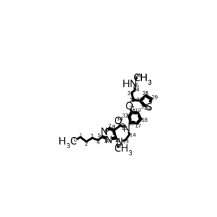 CCCCCc1ncc2c(n1)N(C)CCN(c1cccc(OC(CCNC)c3ccsc3)c1)C2=O